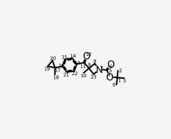 CC(C)(C)OC(=O)N1CC(C)(C(=O)c2ccc(C3(C)CC3)cc2)C1